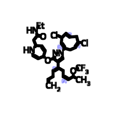 C=CC/C=C(\C/C=C\C(C)OC(F)(F)F)c1cn(/C2=C/C(Cl)/C=C/C/C(Cl)=C\C2)nc1OC1C=CNC(CC(=O)NCC)C=C1